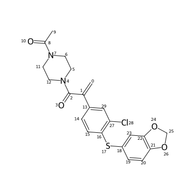 C=C(C(=O)N1CCN(C(C)=O)CC1)c1ccc(Sc2ccc3c(c2)OCO3)c(Cl)c1